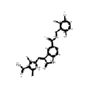 Cc1[nH]c(C=C2C(=O)Nc3ccc(C(=O)NCc4c(F)ccc(Cl)c4F)cc32)c(C)c1C(=O)O